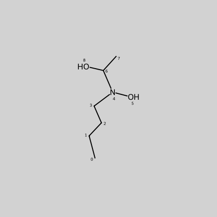 CCCCN(O)C(C)O